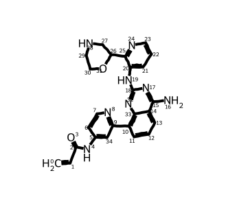 C=CC(=O)Nc1ccnc(-c2cccc3c(N)nc(Nc4cccnc4C4CNCCO4)nc23)c1